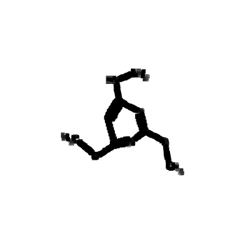 COc1cc(NN)nc(OC)n1